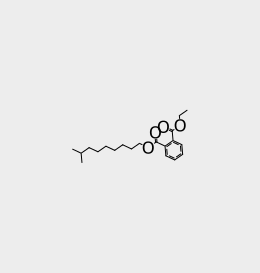 CCOC(=O)c1ccccc1C(=O)OCCCCCCCC(C)C